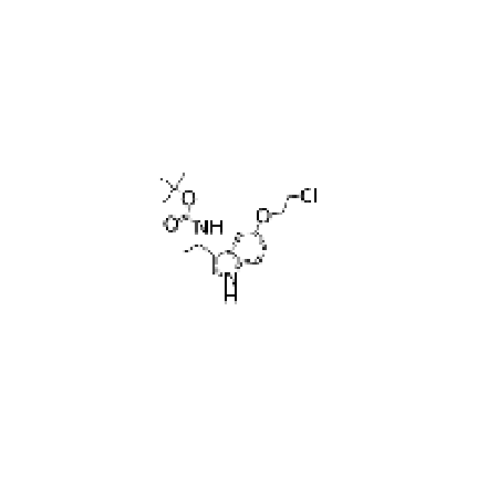 C[C](NC(=O)OC(C)(C)C)c1c[nH]c2ccc(OCCCl)cc12